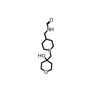 O=CNCC1CCN(CC2(O)CCOCC2)CC1